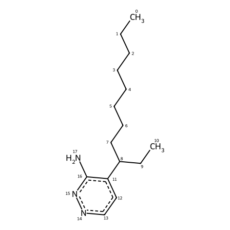 CCCCCCCCC(CC)c1ccnnc1N